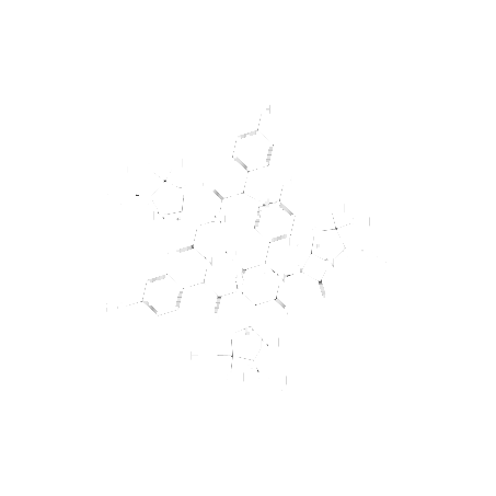 CC1(C)S[C@@H]2[C@H](N(C(=O)C(NC(=O)C(NC(=O)C(NC(=O)C(N)c3ccc(O)cc3)[C@@H]3N[C@@H](C(=O)O)C(C)(C)S3)c3ccc(O)cc3)[C@@H]3N[C@@H](C(=O)O)C(C)(C)S3)[C@@H](C(N)=O)c3ccc(O)cc3)C(=O)N2[C@H]1C(=O)O